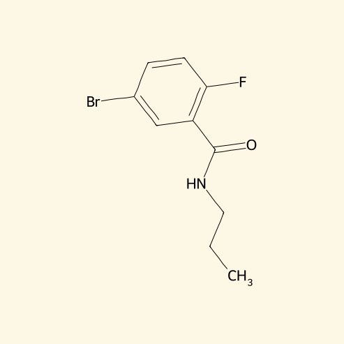 CCCNC(=O)c1cc(Br)ccc1F